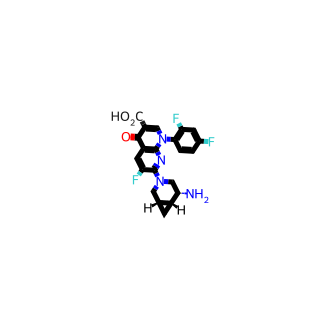 N[C@H]1CN(c2nc3c(cc2F)c(=O)c(C(=O)O)cn3-c2ccc(F)cc2F)C[C@H]2C[C@H]21